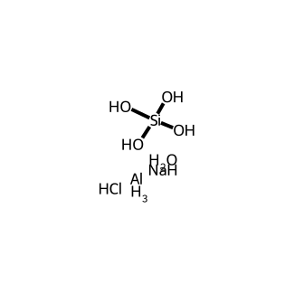 Cl.O.O[Si](O)(O)O.[AlH3].[NaH]